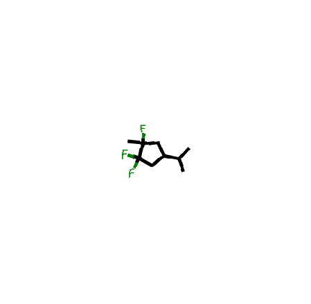 CC(C)C1CC(C)(F)C(F)(F)C1